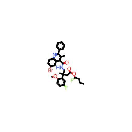 CCCC(F)OC(=O)CC(C)(CNC(=O)c1c(C)c(-c2ccccc2)nc2ccc(Br)cc12)c1cc(F)ccc1OC